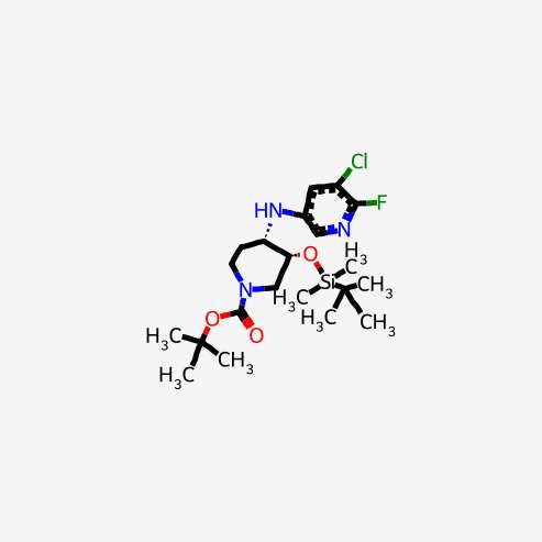 CC(C)(C)OC(=O)N1CC[C@H](Nc2cnc(F)c(Cl)c2)[C@H](O[Si](C)(C)C(C)(C)C)C1